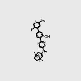 CSc1cc(-c2ccc(-c3ncc(N(C)[C@H]4C[C@]5(C)CC[C@](C)(C4)N5)nn3)c(O)c2)c(F)cn1